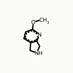 COc1ccc2c(n1)CNC2